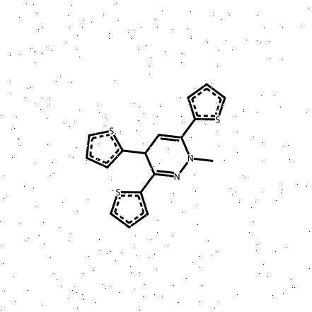 CN1N=C(c2cccs2)C(c2cccs2)C=C1c1cccs1